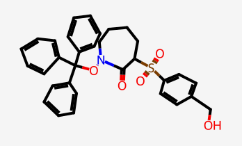 O=C1C(S(=O)(=O)c2ccc(CO)cc2)CCCCN1OC(c1ccccc1)(c1ccccc1)c1ccccc1